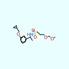 COCOCCCS(=O)(=O)NC(C)c1cccc(OCC2CC2)c1